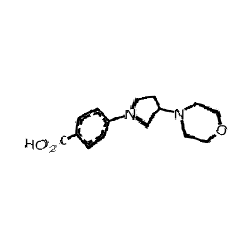 O=C(O)c1ccc(N2CCC(N3CCOCC3)C2)cc1